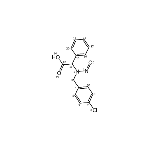 O=NN(Cc1ccc(Cl)cc1)C(C(=O)O)c1ccccc1